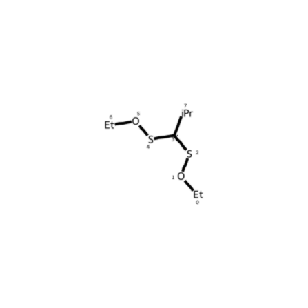 CCOS[C](SOCC)C(C)C